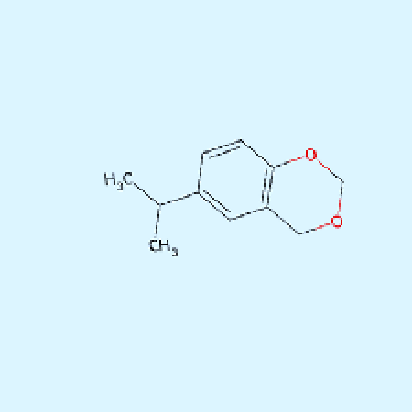 CC(C)c1ccc2c(c1)COCO2